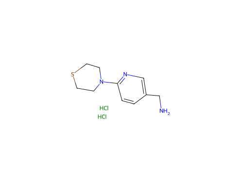 Cl.Cl.NCc1ccc(N2CCSCC2)nc1